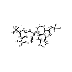 CC(C)(C)OC(=O)N1CCC[C@H](N(C#N)Cc2cc(C(F)(F)F)cc(C(F)(F)F)c2)c2cc3c(cc21)COC3